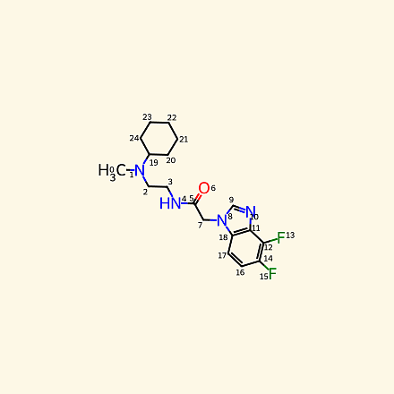 CN(CCNC(=O)Cn1cnc2c(F)c(F)ccc21)C1CCCCC1